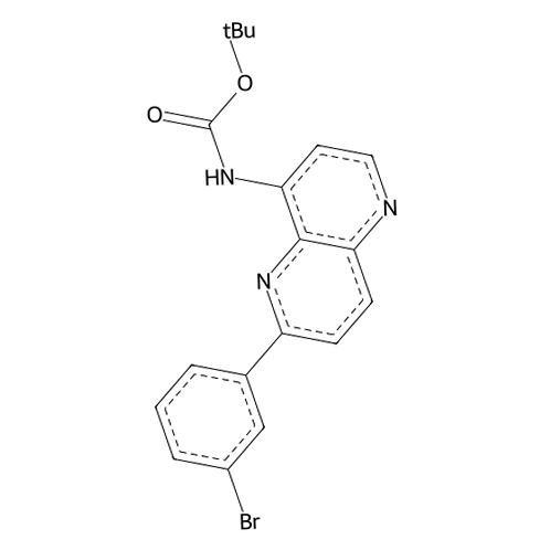 CC(C)(C)OC(=O)Nc1ccnc2ccc(-c3cccc(Br)c3)nc12